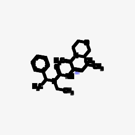 C=C(C)/C=C(/NC(=O)N(CC)C(C)c1ccccc1)C(=C)N1CCOCC1